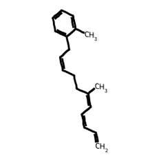 C=C/C=C\C=C(\C)CC/C=C\Cc1ccccc1C